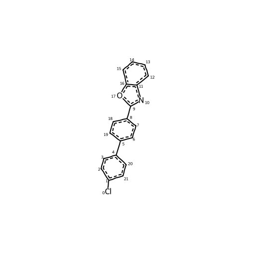 Clc1ccc(-c2ccc(-c3nc4ccccc4o3)cc2)cc1